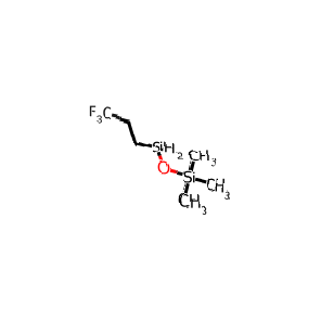 C[Si](C)(C)O[SiH2]CCC(F)(F)F